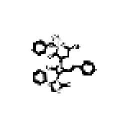 C[C@@H](NC(=O)C(CC(=O)O)N1C(=O)C(N2C(=O)OC[C@@H]2c2ccccc2)C1C=Cc1ccccc1)c1ccccc1